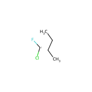 CCCC.F[C]Cl